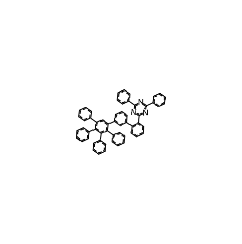 c1ccc(-c2nc(-c3ccccc3)nc(-c3ccccc3-c3cccc(-c4cc(-c5ccccc5)c(-c5ccccc5)c(-c5ccccc5)c4-c4ccccc4)c3)n2)cc1